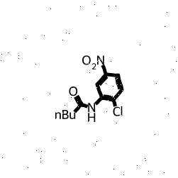 CCCCC(=O)Nc1cc([N+](=O)[O-])ccc1Cl